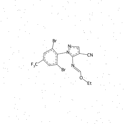 CCO/C=N/c1c(C#N)cnn1-c1c(Br)cc(C(F)(F)F)cc1Br